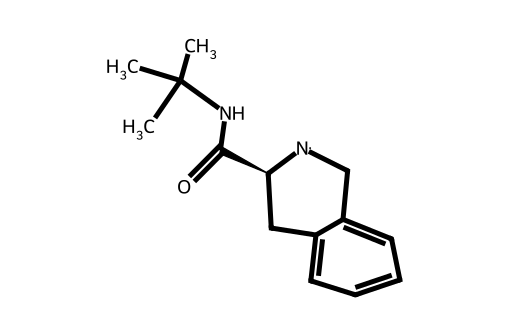 CC(C)(C)NC(=O)[C@@H]1Cc2ccccc2C[N]1